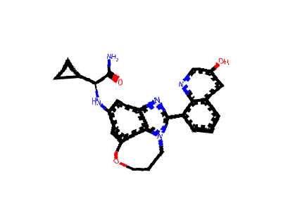 NC(=O)[C@@H](Nc1cc2c3c(c1)nc(-c1cccc4cc(O)cnc14)n3CCCO2)C1CC1